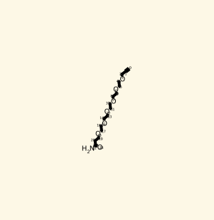 C#CCOCCOCCOCCOCCOCCOCCC(N)=O